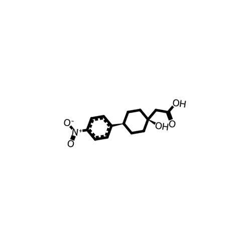 O=C(O)C[C@]1(O)CC[C@@H](c2ccc([N+](=O)[O-])cc2)CC1